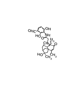 CC1=CC(=O)[C@@](C)(CCC(=O)Nc2c(O)ccc(C=O)c2O)C2C(C)CC3CC12CC3(C)O